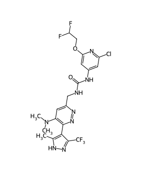 Cc1[nH]nc(C(F)(F)F)c1-c1nnc(CNC(=O)Nc2cc(Cl)nc(OCC(F)F)c2)cc1N(C)C